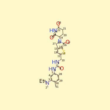 CCN(C)c1cc(NC(=O)NCc2cc3c(s2)C(=O)N(C2CCC(=O)NC2=O)C3)ccc1C